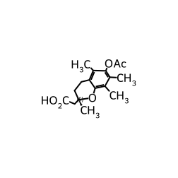 CC(=O)Oc1c(C)c(C)c2c(c1C)CC[C@@](C)(CC(=O)O)O2